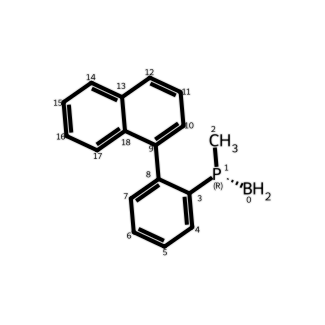 B[P@@](C)c1ccccc1-c1cccc2ccccc12